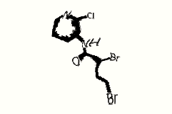 O=C(Nc1cccnc1Cl)[C@@H](Br)CCBr